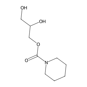 O=C(OCC(O)CO)N1CCCCC1